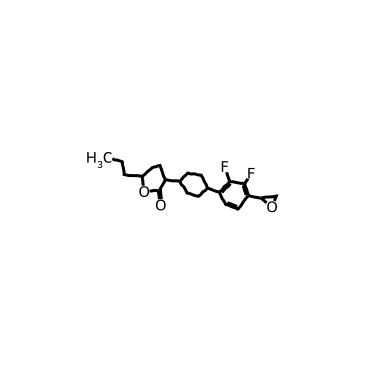 CCCC1CCC(C2CCC(c3ccc(C4CO4)c(F)c3F)CC2)C(=O)O1